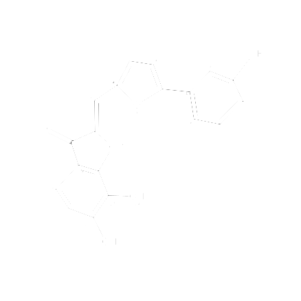 O=C1/C(=C/c2ccc(-c3cccc(C(F)(F)F)c3)o2)Oc2c1ccc(O)c2O